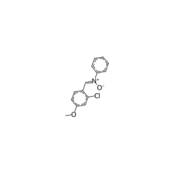 COc1ccc(C=[N+]([O-])c2ccccc2)c(Cl)c1